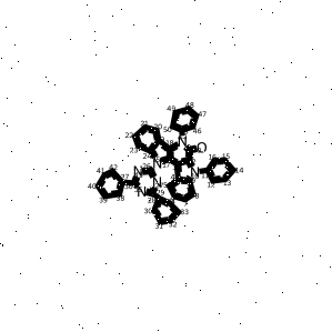 O=c1c2c(c3ccccc3n2-c2ccccc2)c2c(c3ccccc3n2-c2nc(-c3ccccc3)nc(-c3ccccc3)n2)n1-c1ccccc1